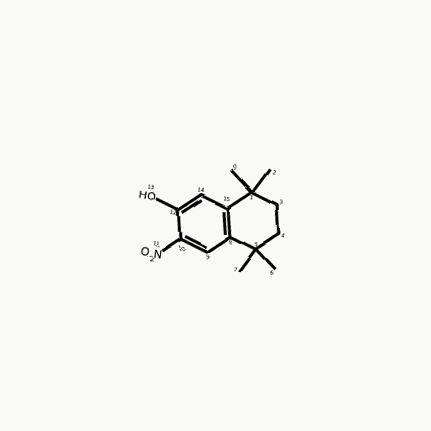 CC1(C)CCC(C)(C)c2cc([N+](=O)[O-])c(O)cc21